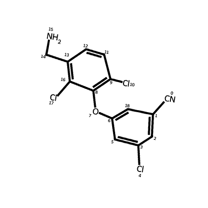 N#Cc1cc(Cl)cc(Oc2c(Cl)ccc(CN)c2Cl)c1